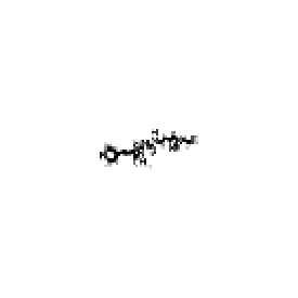 Cc1nc(NC(=O)NCCc2cn(CCF)cn2)sc1C#Cc1ccncc1